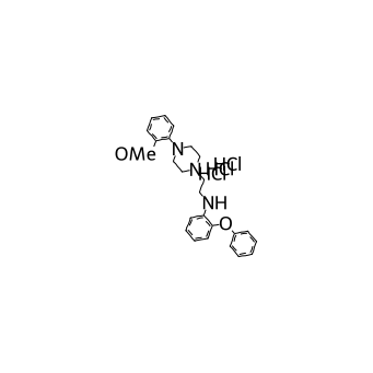 COc1ccccc1N1CCN(CCNc2ccccc2Oc2ccccc2)CC1.Cl.Cl.Cl